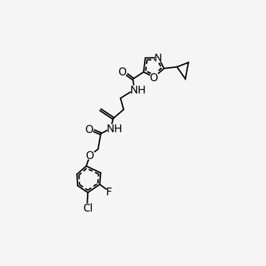 C=C(CCNC(=O)c1cnc(C2CC2)o1)NC(=O)COc1ccc(Cl)c(F)c1